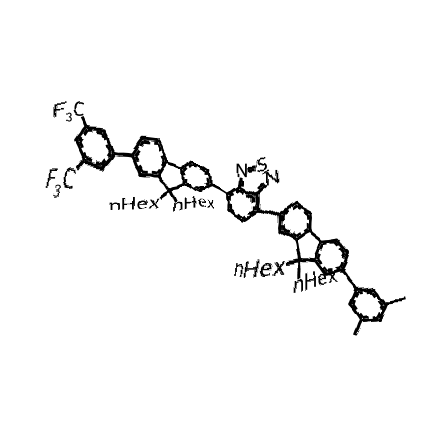 CCCCCCC1(CCCCCC)c2cc(-c3cc(C)cc(C)c3)ccc2-c2ccc(-c3ccc(-c4ccc5c(c4)C(CCCCCC)(CCCCCC)c4cc(-c6cc(C(F)(F)F)cc(C(F)(F)F)c6)ccc4-5)c4nsnc34)cc21